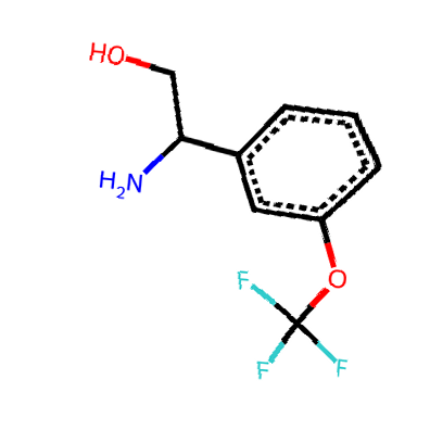 NC(CO)c1cccc(OC(F)(F)F)c1